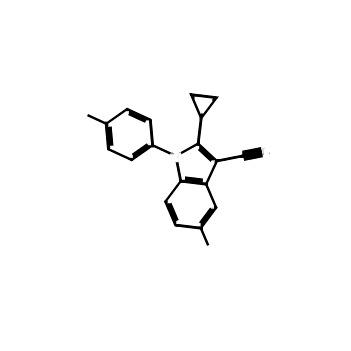 N#Cc1c(C2CC2)n(-c2ccc(F)cc2)c2ccc(O)cc12